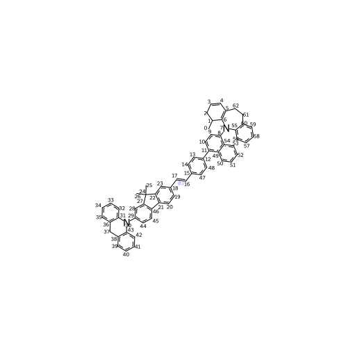 CC1CC=CC2=C1N(c1ccc(-c3ccc(/C=C/c4ccc5c(c4)C(C)(C)c4cc(N6c7ccccc7Cc7ccccc76)ccc4-5)cc3)c3ccccc13)c1ccccc1CC2